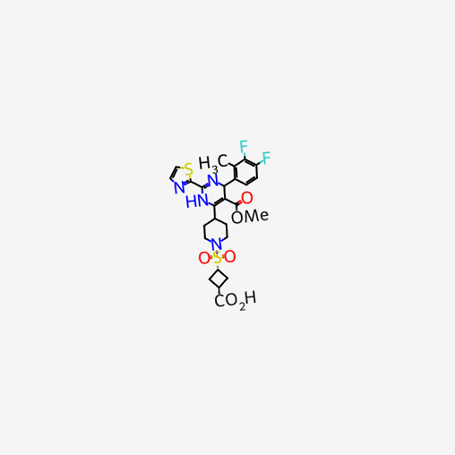 COC(=O)C1=C(C2CCN(S(=O)(=O)[C@H]3C[C@H](C(=O)O)C3)CC2)NC(c2nccs2)=NC1c1ccc(F)c(F)c1C